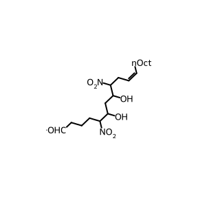 CCCCCCCC/C=C\CC(C(O)CC(O)C(CCC[C]=O)[N+](=O)[O-])[N+](=O)[O-]